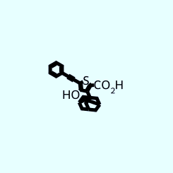 O=C(O)c1sc(C#Cc2ccccc2)c(O)c1C12CC3CC(CC(C3)C1)C2